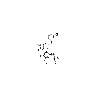 Cc1cc(Nc2nc(CC3(C(=O)O)CCN(Cc4cccc(Cl)c4F)CC3)c(F)c(C(C)C)n2)n[nH]1